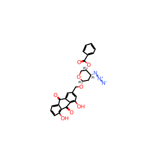 [N-]=[N+]=N[C@@H]1C[C@H](OCc2cc(O)c3c(c2)C(=O)c2cccc(O)c2C3=O)OC[C@@H]1OC(=O)c1ccccc1